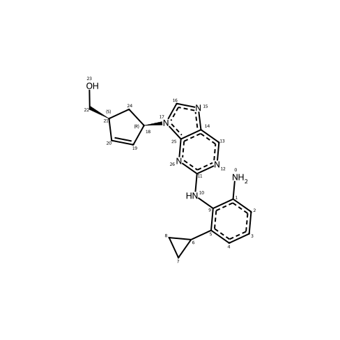 Nc1cccc(C2CC2)c1Nc1ncc2ncn([C@H]3C=C[C@@H](CO)C3)c2n1